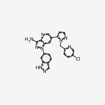 Nc1nn(-c2ccc3cn[nH]c3c2)c2cc(-c3ccnn3Cc3ccc(Cl)cn3)cnc12